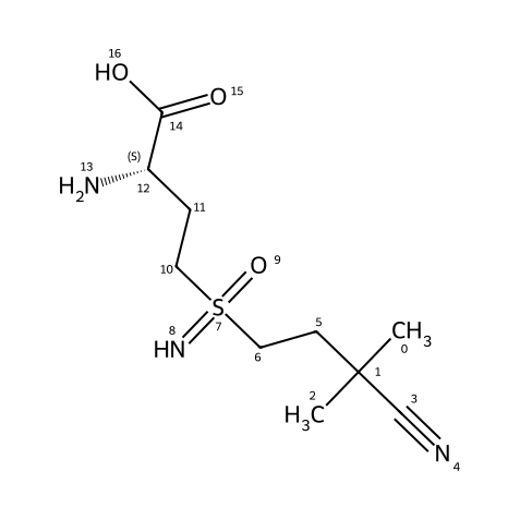 CC(C)(C#N)CCS(=N)(=O)CC[C@H](N)C(=O)O